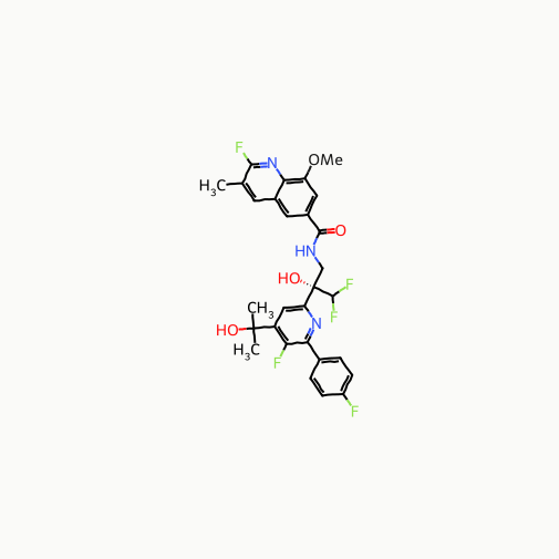 COc1cc(C(=O)NC[C@](O)(c2cc(C(C)(C)O)c(F)c(-c3ccc(F)cc3)n2)C(F)F)cc2cc(C)c(F)nc12